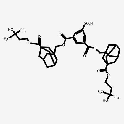 O=C(OCC12CC3CC(C1)CC(C(=O)OCCC(O)(C(F)(F)F)C(F)(F)F)(C3)C2)c1cc(C(=O)OCC23CC4CC(C2)CC(C(=O)OCCC(O)(C(F)(F)F)C(F)(F)F)(C4)C3)cc(S(=O)(=O)O)c1